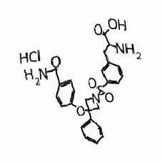 Cl.NC(=O)c1ccc(OC2(c3ccccc3)CN(S(=O)(=O)c3cccc(C[C@H](N)C(=O)O)c3)C2)cc1